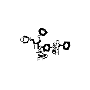 O=C(NS(=O)(=O)c1ccc(NC(CCN2CCOCC2)CSc2ccccc2)c(S(=O)(=O)C(F)(F)F)c1)c1ccccc1